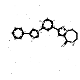 O=C1NCCCn2nc(-c3ccnc(-n4cnc(-c5ccccc5)c4)c3)cc21